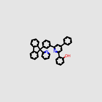 Oc1ccccc1-c1cc(-c2ccccc2)cc(-c2cccc(C3(c4ccccn4)c4ccccc4-c4ccccc43)c2)n1